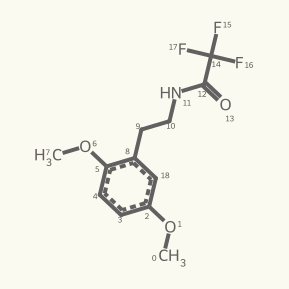 COc1ccc(OC)c(CCNC(=O)C(F)(F)F)c1